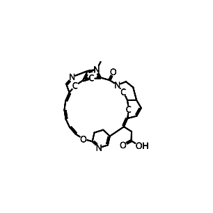 Cn1c2cc3c1N=CC(=CC=CC=COC1=NC=C(CC1)C(CC(=O)O)=C1C=CC4CCN(CC4C1)C2=O)C3